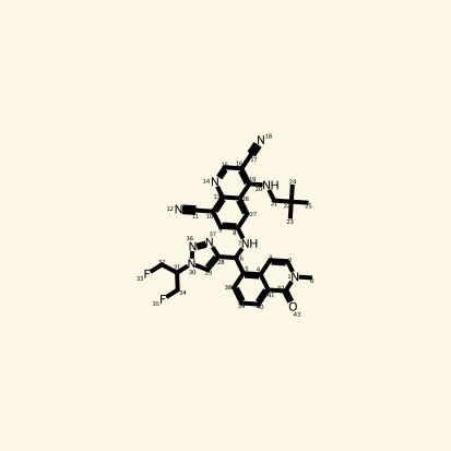 Cn1ccc2c(C(Nc3cc(C#N)c4ncc(C#N)c(NCC(C)(C)C)c4c3)c3cn(C(CF)CF)nn3)cccc2c1=O